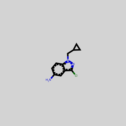 Nc1ccc2c(c1)c(Cl)nn2CC1CC1